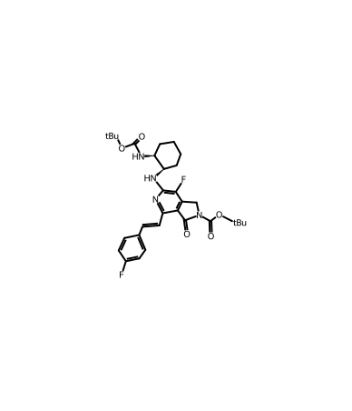 CC(C)(C)OC(=O)N[C@H]1CCCC[C@H]1Nc1nc(/C=C/c2ccc(F)cc2)c2c(c1F)CN(C(=O)OC(C)(C)C)C2=O